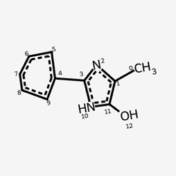 Cc1nc(-c2ccccc2)[nH]c1O